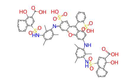 Cc1cc(C)c(NS(=O)(=O)c2cc(C(=O)O)c(O)c3ccccc23)c(C)c1/N=c1\cc2oc3cc(Nc4c(C)cc(C)c(NS(=O)(=O)c5cc(C(=O)O)c(O)c6ccccc56)c4C)ccc3c(-c3ccccc3S(=O)(=O)O)c-2cc1S(=O)(=O)O